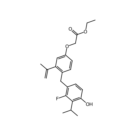 C=C(C)c1cc(OCC(=O)OCC)ccc1Cc1ccc(O)c(C(C)C)c1F